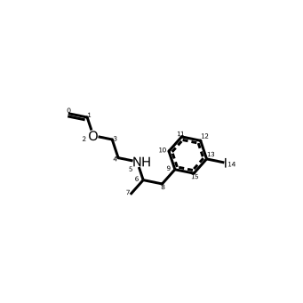 C=COCCNC(C)Cc1cccc(I)c1